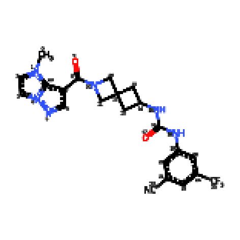 Cn1ccn2ncc(C(=O)N3CC4(CC(NC(=O)Nc5cc(C#N)cc(C(F)(F)F)c5)C4)C3)c12